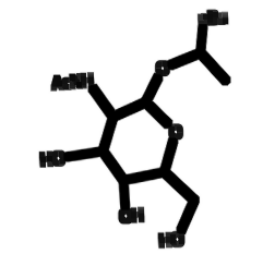 CCCCC(C)OC1OC(CO)C(O)C(O)C1NC(C)=O